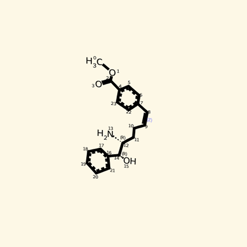 COC(=O)c1ccc(/C=C\CC[C@@H](N)[C@H](O)c2ccccc2)cc1